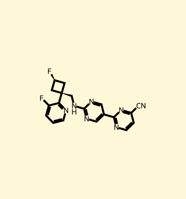 N#Cc1ccnc(-c2cnc(NC[C@]3(c4ncccc4F)C[C@H](F)C3)nc2)n1